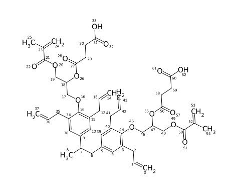 C=CCc1cc(CC(C)c2cc(CC=C)c(OCC(COC(=O)C(=C)C)OC(=O)CCC(=O)O)c(CC=C)c2)cc(CC=C)c1OCC(COC(=O)C(=C)C)OC(=O)CCC(=O)O